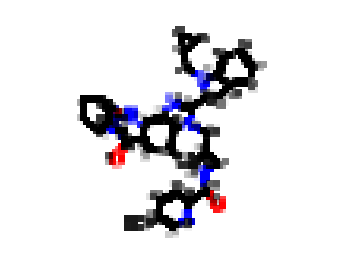 COc1cc(C(=O)N2CC3CCC2[C@@H]3N)cc2nc(-c3cc4ccccc4n3CC3CC3)n(CC3CN(C(=O)c4ccc(C#N)cn4)C3)c12